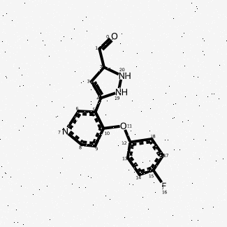 O=CC1C=C(c2cnccc2Oc2ccc(F)cc2)NN1